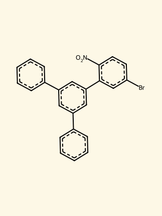 O=[N+]([O-])c1ccc(Br)cc1-c1cc(-c2ccccc2)cc(-c2ccccc2)c1